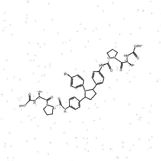 COC(=O)N[C@H](C(=O)N1CCC[C@H]1C(=O)Nc1ccc(C2CCC(c3ccc(NC(=O)[C@@H]4CCCN4C(=O)[C@@H](NC(=O)OC)C(C)C)cc3)N2c2ccc(Br)cc2)cc1)C(C)C